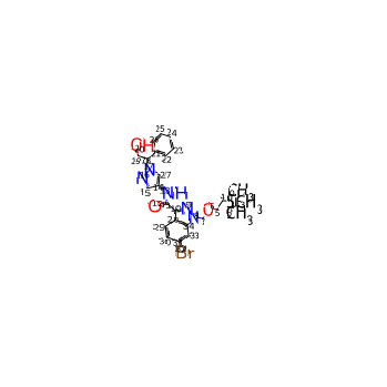 C[Si](C)(C)CCOCn1nc(C(=O)Nc2cnn(C(CO)c3ccccc3)c2)c2ccc(Br)cc21